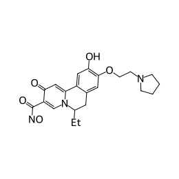 CCC1Cc2cc(OCCN3CCCC3)c(O)cc2-c2cc(=O)c(C(=O)N=O)cn21